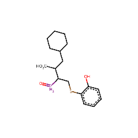 O=[PH2]C(CSc1ccccc1O)C(CC1CCCCC1)C(=O)O